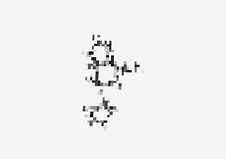 FC(F)(F)c1cc(-c2cccs2)nc2c[c]nn12